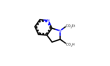 CCOC(=O)N1c2ncccc2CC1C(=O)O